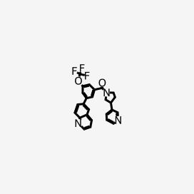 O=C(c1cc(OC(F)(F)F)cc(-c2ccc3ncccc3c2)c1)N1CCC(c2cccnc2)C1